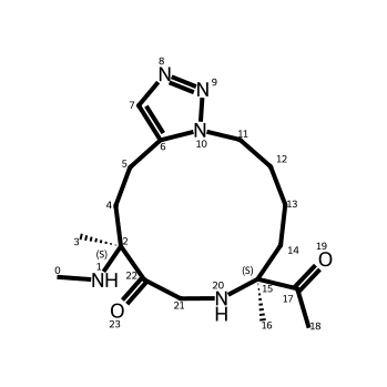 CN[C@@]1(C)CCc2cnnn2CCCC[C@@](C)(C(C)=O)NCC1=O